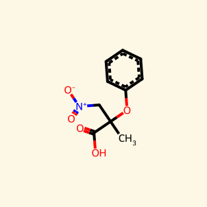 CC(C[N+](=O)[O-])(Oc1ccccc1)C(=O)O